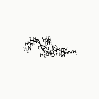 B[P@]1(=O)OCC2OC(n3cnc4c(=O)[nH]c(N)nc43)C(O[P@](=O)(S)OCC3OC(n4cnc5c(N)ncnc54)C(F)C3O1)C2OC